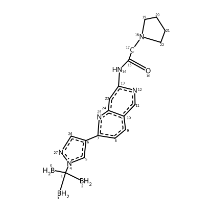 BC(B)(B)n1cc(-c2ccc3cnc(NC(=O)CN4CCCC4)cc3n2)cn1